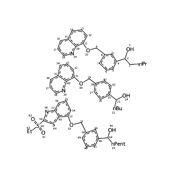 CC(C)CC(O)c1cccc(COc2cccc3cccnc23)c1.CCCCC(O)c1ccc(COc2cccc3cccnc23)cc1.CCCCCC(O)c1cccc(COc2cccc3nc(S(=O)(=O)CC)sc23)c1